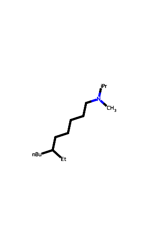 CCCCC(CC)CCCCCN(C)C(C)C